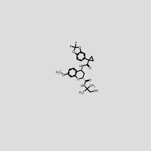 COc1ccc2c(c1)O[C@@H](C(=O)NC(C)(C)CO)C[C@@H]2NC(=O)C1(c2ccc3c(c2)OC(F)(F)O3)CC1